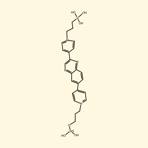 O[SiH](O)OCCC[n+]1ccc(-c2ccc3nc(-c4cc[n+](CCC[Si](O)(O)O)cc4)cnc3c2)cc1